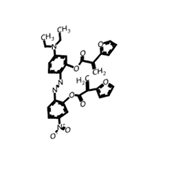 C=C(C(=O)Oc1cc(N(CC)CC)ccc1N=Nc1ccc([N+](=O)[O-])cc1OC(=O)C(=C)c1ccco1)c1ccco1